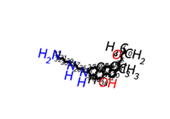 C=C(C)C(=O)CC[C@@H](C)C1CCC2C3C(CC[C@@]21C)[C@@]1(C)CC[C@H](NCCCNCCCCN)C[C@@H]1C[C@H]3O